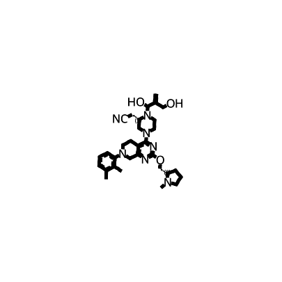 C=C(CO)C(O)N1CCN(c2nc(OC[C@@H]3CCCN3C)nc3c2CCN(c2cccc(C)c2C)C3)C[C@@H]1CC#N